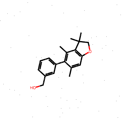 Cc1cc2c(c(C)c1-c1cccc(CO)c1)C(C)(C)CO2